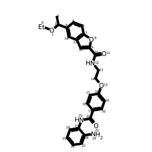 CCOC(C)c1ccc2oc(C(=O)NCCOc3ccc(C(=O)Nc4ccccc4N)cc3)cc2c1